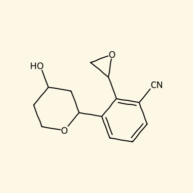 N#Cc1cccc(C2CC(O)CCO2)c1C1CO1